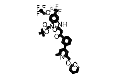 Cc1cc(-c2cccc(C(=O)CC(=O)Nc3cc(C(F)(F)F)c(OCC(F)(F)F)cc3NC(=O)OC(C)(C)C)c2)cc(COC2CCCCO2)n1